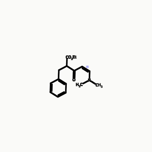 CCOC(=O)C(Cc1ccccc1)C(=O)/C=C\N(C)C